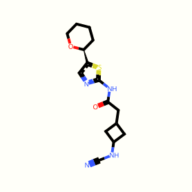 N#CNC1CC(CC(=O)Nc2ncc([C@@H]3CCCCO3)s2)C1